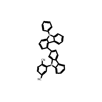 N#Cc1ccc(C#N)c(-n2c3ccccc3c3ccc(-c4cccc5c4c4ccccc4n5-c4ccccc4)cc32)c1